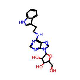 OCC1OC(n2cnc3c(NCCc4c[nH]c5ccccc45)ncnc32)C(O)C1O